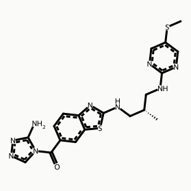 CSc1cnc(NC[C@H](C)CNc2nc3ccc(C(=O)n4cnnc4N)cc3s2)nc1